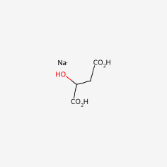 O=C(O)CC(O)C(=O)O.[Na]